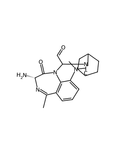 CC1=N[C@H](N)C(=O)N(C(C=O)N2CC3CCC(CC3)C2)c2c1cccc2N(C)C